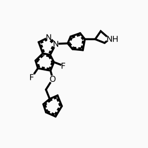 Fc1cc2cnn(-c3ccc(C4CNC4)cc3)c2c(F)c1OCc1ccccc1